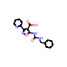 O=C(NCc1ccccc1)Nc1onc(-c2ccccn2)c1C(=O)O